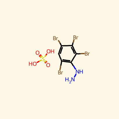 NNc1c(Br)cc(Br)c(Br)c1Br.O=S(=O)(O)O